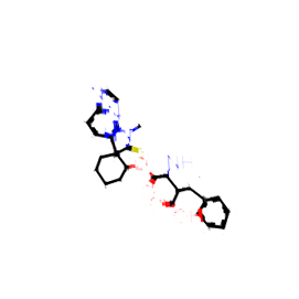 CNC(=S)C1(c2ccc3nccn3c2)CCCCC1OC(=O)[C@@H](N)C(Cc1ccccc1)C(=O)O